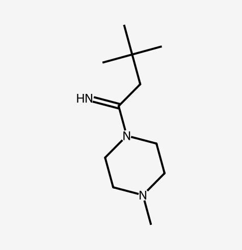 CN1CCN(C(=N)CC(C)(C)C)CC1